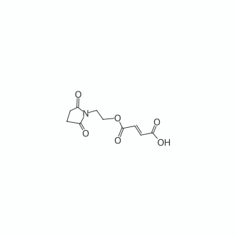 O=C(O)C=CC(=O)OCCN1C(=O)CCC1=O